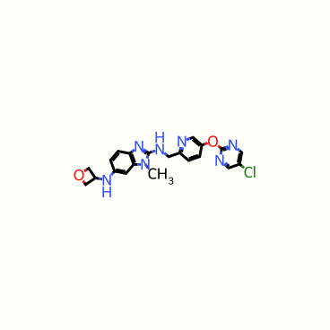 Cn1c(NCc2ccc(Oc3ncc(Cl)cn3)cn2)nc2ccc(NC3COC3)cc21